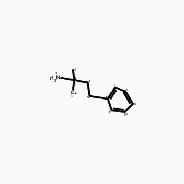 CCC(C)(N)CCc1ccccc1